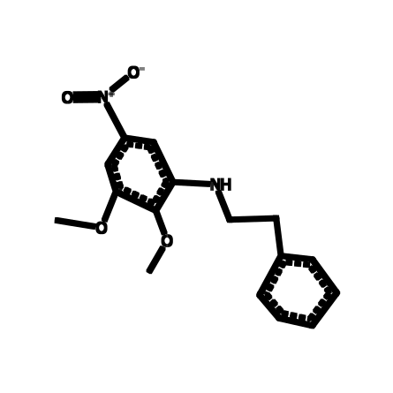 COc1cc([N+](=O)[O-])cc(NCCc2ccccc2)c1OC